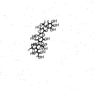 CC(=O)NC1C(O)OC(CO)C(OC2OC(CO)[C@@H](O)C(OC3(C(=O)O)CC(O)C(NC(C)=O)C([C@H](O)[C@H](O)CO)O3)C2O)C1OC1OC(C)C(O)C(O)C1O